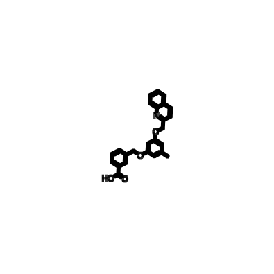 Cc1cc(OCc2cccc(C(=O)O)c2)cc(OCc2ccc3ccccc3n2)c1